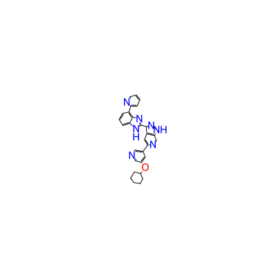 c1ccc(-c2cccc3[nH]c(-c4n[nH]c5cnc(-c6cncc(OC7CCCCC7)c6)cc45)nc23)nc1